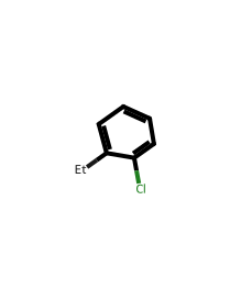 CCc1ccccc1Cl